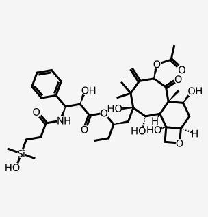 C=C1[C@@H](OC(C)=O)C(=O)[C@@]2(C)[C@H]([C@H](O)[C@](O)(C[C@@H](CC)OC(=O)[C@H](O)[C@@H](NC(=O)CC[Si](C)(C)O)c3ccccc3)C1(C)C)[C@]1(O)CO[C@@H]1C[C@@H]2O